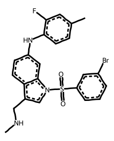 CNCc1cn(S(=O)(=O)c2cccc(Br)c2)c2cc(Nc3ccc(C)cc3F)ccc12